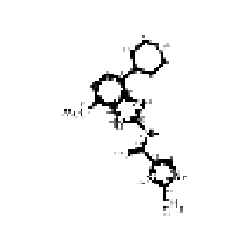 COc1ccc(C2CCOCC2)c2nc(NC(=O)c3cnc(C)s3)[nH]c12